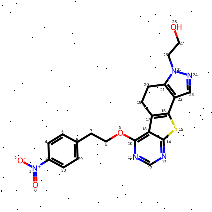 O=[N+]([O-])c1ccc(CCOc2ncnc3sc4c(c23)CCc2c-4cnn2CCO)cc1